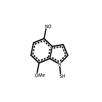 COc1ccc(N=O)c2ccn(S)c12